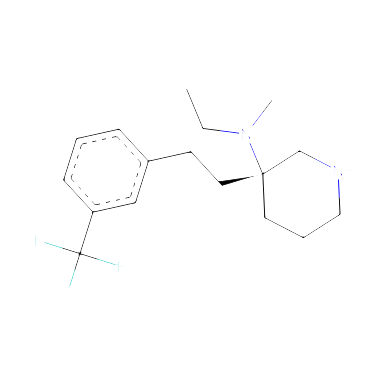 CCN(C)[C@@]1(CCc2cccc(C(F)(F)F)c2)CCCNC1